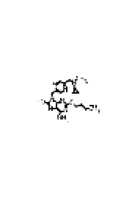 CCCCOc1nc(N)c2nc(O)n(Cc3cnc(CN(C)C4CC4)cn3)c2n1